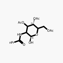 CCCC(=O)NC1C(OC(C)=O)[C@H](OC(C)=O)C(COC(C)=O)O[C@H]1O